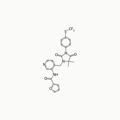 CC1(C)C(=O)N(c2ccc(SC(F)(F)F)cc2)C(=O)N1Cc1ccncc1NC(=O)c1ccco1